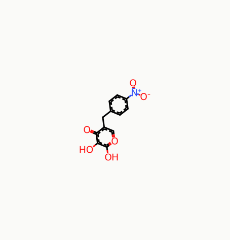 O=c1c(Cc2ccc([N+](=O)[O-])cc2)coc(O)c1O